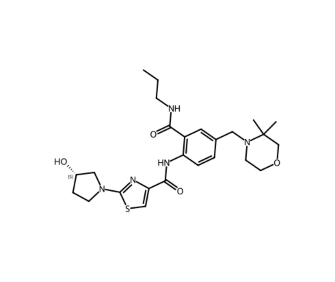 CCCNC(=O)c1cc(CN2CCOCC2(C)C)ccc1NC(=O)c1csc(N2CC[C@H](O)C2)n1